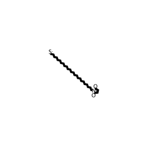 O=C1C=CC(=O)N1CCCCCCCCCCCCCCCCCCCCCCCCC[S]